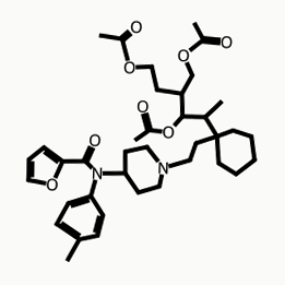 CC(=O)OCCC(COC(C)=O)C(OC(C)=O)C(C)C1(CCN2CCC(N(C(=O)c3ccco3)c3ccc(C)cc3)CC2)CCCCC1